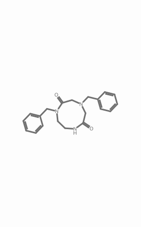 O=C1CN(Cc2ccccc2)CC(=O)N(Cc2ccccc2)CCN1